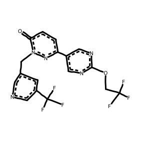 O=c1ccc(-c2cnc(OCC(F)(F)F)nc2)nn1Cc1cncc(C(F)(F)F)c1